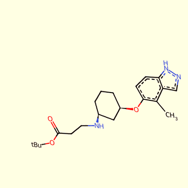 Cc1c(O[C@@H]2CCC[C@H](NCCC(=O)OC(C)(C)C)C2)ccc2[nH]ncc12